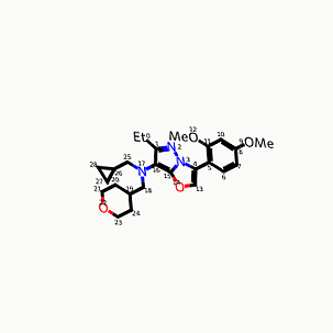 CCc1nn2c(-c3ccc(OC)cc3OC)coc2c1N(CC1CCOCC1)CC1CC1